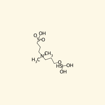 C[N+](C)(CCCO[SiH](O)O)CCCS(=O)(=O)O